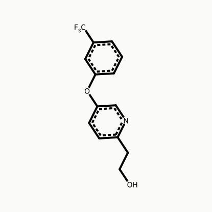 OCCc1ccc(Oc2cccc(C(F)(F)F)c2)cn1